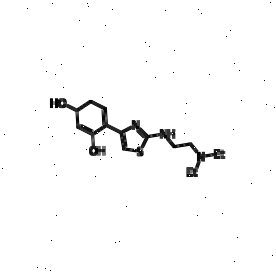 CCN(CC)CCNc1nc(C2=CCC(O)C=C2O)cs1